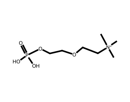 C[N+](C)(C)CCOCCOP(=O)(O)O